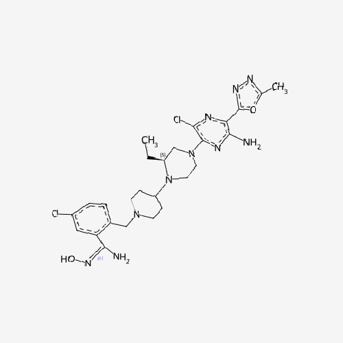 CC[C@H]1CN(c2nc(N)c(-c3nnc(C)o3)nc2Cl)CCN1C1CCN(Cc2ccc(Cl)cc2/C(N)=N\O)CC1